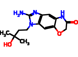 CC(C)(O)CCn1c(N)nc2cc3c(cc21)OCC(=O)N3